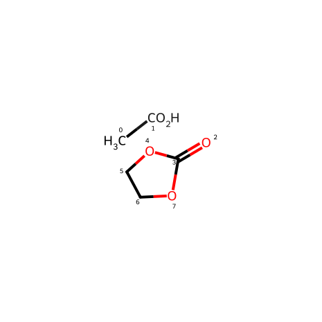 CC(=O)O.O=C1OCCO1